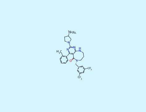 CC(=O)NC1CCN(c2nc3c(c(-c4ccccc4C)n2)C(=O)N(Cc2cc(C(F)(F)F)cc(C(F)(F)F)c2)CCCN3)C1